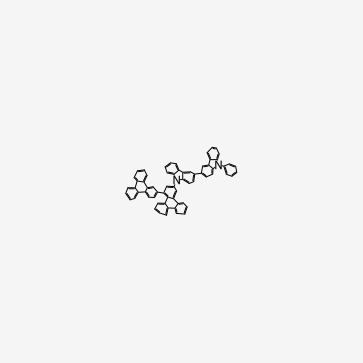 c1ccc(-n2c3ccccc3c3cc(-c4ccc5c(c4)c4ccccc4n5-c4cc(-c5ccc6c7ccccc7c7ccccc7c6c5)c5c6ccccc6c6ccccc6c5c4)ccc32)cc1